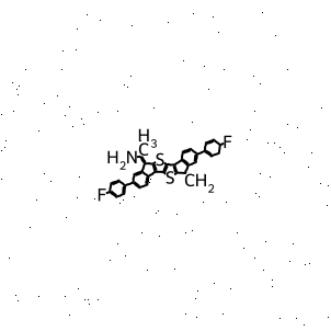 C=C1c2cc(C3=CCC(F)C=C3)ccc2-c2c1sc1c3c(sc21)/C(=C(\C)N)c1cc(-c2ccc(F)cc2)ccc1-3